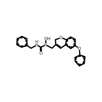 O=C(NCc1ccccc1)N(O)CC1=Cc2cc(Oc3ccccc3)ccc2OC1